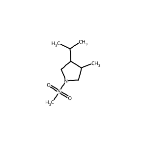 CC(C)C1CN(S(C)(=O)=O)CC1C